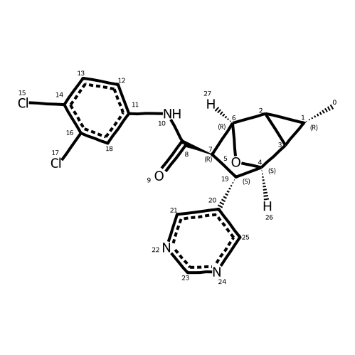 C[C@H]1C2C1[C@@H]1O[C@H]2[C@H](C(=O)Nc2ccc(Cl)c(Cl)c2)[C@H]1c1cncnc1